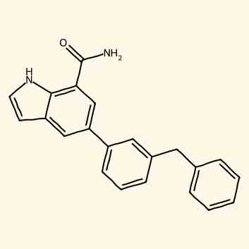 NC(=O)c1cc(-c2cccc(Cc3ccccc3)c2)cc2cc[nH]c12